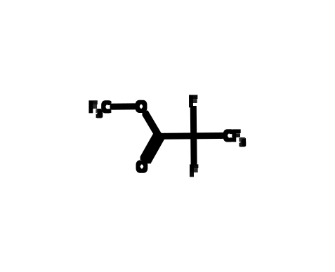 O=C(OC(F)(F)F)C(F)(F)C(F)(F)F